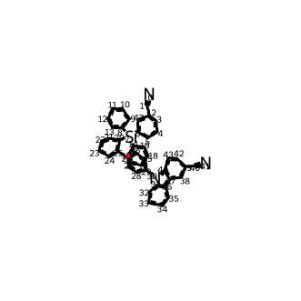 N#Cc1cccc([Si](c2ccccc2)(c2ccccc2)c2ccccc2-c2ccc(-n3c4ccccc4c4cc(C#N)ccc43)cc2)c1